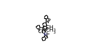 Cc1ccccc1C1=C2C=C/C(=[N+]3/CCc4ccccc43)C=C2[Si](C)(C)c2cc(N3CCc4ccccc43)ccc21